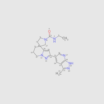 CCNC(=O)N1CCC2(CCCn3nc(-c4cnc5[nH]nc(C)c5c4)cc32)C1